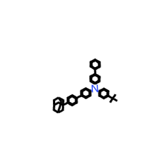 CC(C)(C)c1ccc(N(c2ccc(-c3ccccc3)cc2)c2ccc(-c3ccc(C45CC6CC(CC(C6)C4)C5)cc3)cc2)cc1